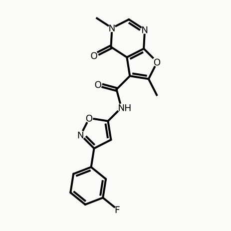 Cc1oc2ncn(C)c(=O)c2c1C(=O)Nc1cc(-c2cccc(F)c2)no1